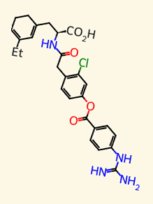 CCC1=CCCC(C[C@H](NC(=O)Cc2ccc(OC(=O)c3ccc(NC(=N)N)cc3)cc2Cl)C(=O)O)=C1